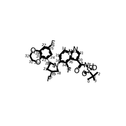 CC(C)(C)S(=O)(=O)NC(=O)c1cnn2ccc(N3C[C@@H](F)C[C@@H]3c3cc(F)cc4c3OCCO4)c(F)c12